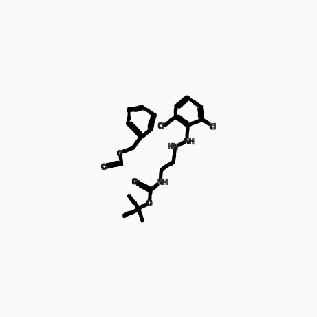 CC(C)(C)OC(=O)NCCNNc1c(Cl)cccc1Cl.O=COCc1ccccc1